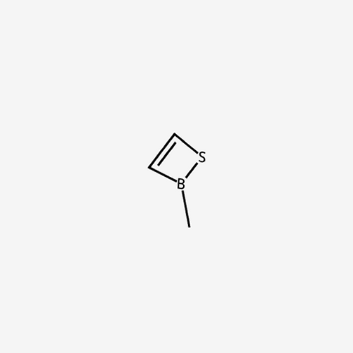 CB1C=CS1